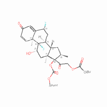 CCCCCOC(=O)O[C@]1(C(=O)COC(=O)OCC(C)C)[C@H](C)C[C@H]2[C@@H]3C[C@H](F)C4=CC(=O)C=C[C@]4(C)[C@@]3(F)[C@@H](O)C[C@@]21C